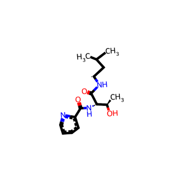 CC(C)C[CH]NC(=O)[C@@H](NC(=O)c1ccccn1)[C@@H](C)O